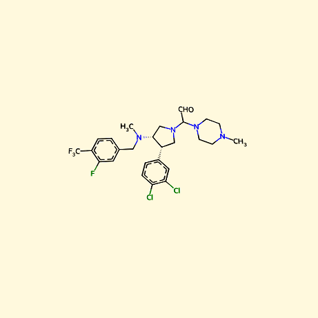 CN1CCN(C(C=O)N2C[C@H](c3ccc(Cl)c(Cl)c3)[C@H](N(C)Cc3ccc(C(F)(F)F)c(F)c3)C2)CC1